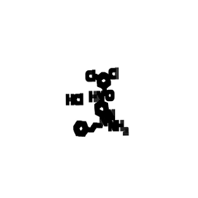 Cl.Nc1nc2cc(NC(=O)c3cc(Cl)cc(Cl)c3)ccc2n1CCCc1ccccc1